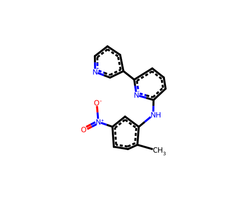 Cc1ccc([N+](=O)[O-])cc1Nc1cccc(-c2cccnc2)n1